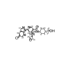 CC(C)(O)C1CCC(NC(=O)c2cnc(-n3ncc4cc(Cl)cnc43)cc2NC2COC2)CC1